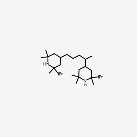 CC(CCCC1CC(C)(C)NC(C)(C(C)C)C1)C1CC(C)(C)NC(C)(C(C)C)C1